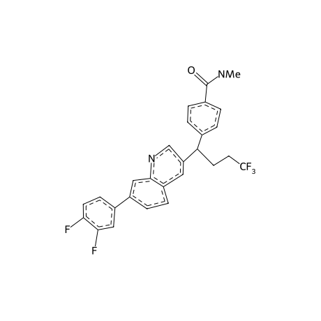 CNC(=O)c1ccc(C(CCC(F)(F)F)c2cnc3cc(-c4ccc(F)c(F)c4)ccc3c2)cc1